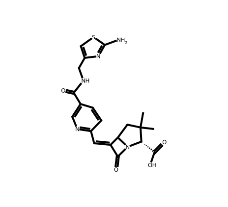 CC1(C)CC2/C(=C\c3ccc(C(=O)NCc4csc(N)n4)cn3)C(=O)N2[C@H]1C(=O)O